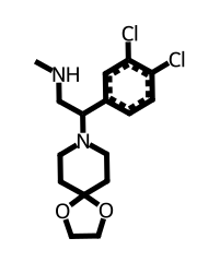 CNCC(c1ccc(Cl)c(Cl)c1)N1CCC2(CC1)OCCO2